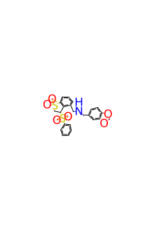 O=S1(=O)CC(S(=O)(=O)c2ccccc2)c2c(CNCc3ccc4c(c3)OCO4)cccc21